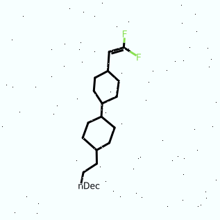 CCCCCCCCCCCCC1CCC(C2CCC(C=C(F)F)CC2)CC1